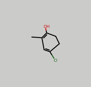 CC1=C(O)CCC(Cl)=C1